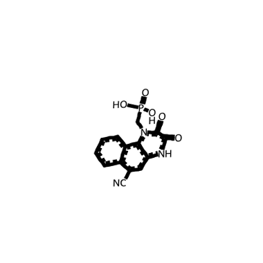 N#Cc1cc2[nH]c(=O)c(=O)n(CP(=O)(O)O)c2c2ccccc12